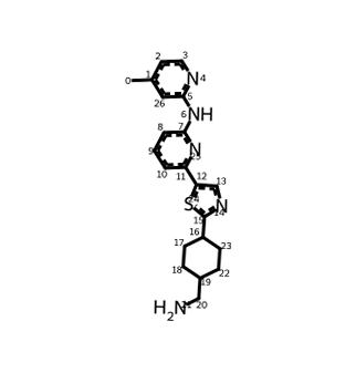 Cc1ccnc(Nc2cccc(-c3cnc(C4CCC(CN)CC4)s3)n2)c1